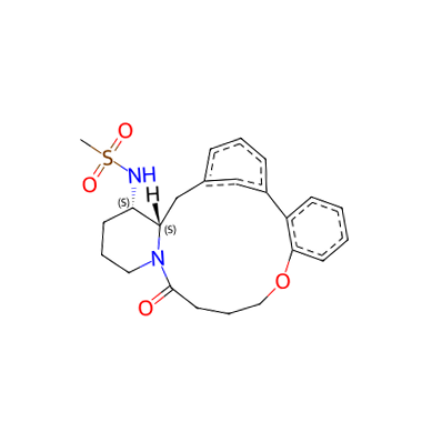 CS(=O)(=O)N[C@H]1CCCN2C(=O)CCCOc3ccccc3-c3cccc(c3)C[C@@H]12